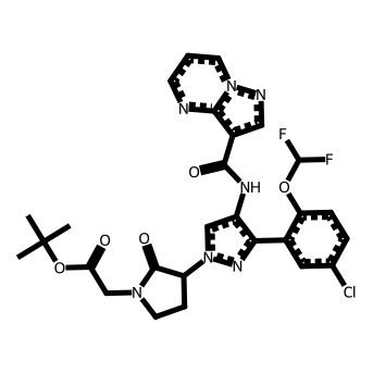 CC(C)(C)OC(=O)CN1CCC(n2cc(NC(=O)c3cnn4cccnc34)c(-c3cc(Cl)ccc3OC(F)F)n2)C1=O